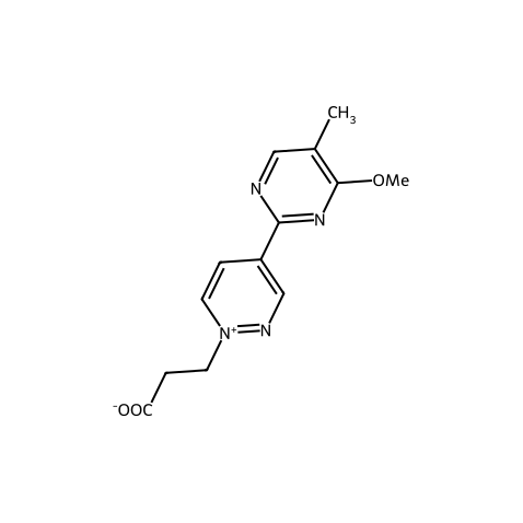 COc1nc(-c2cc[n+](CCC(=O)[O-])nc2)ncc1C